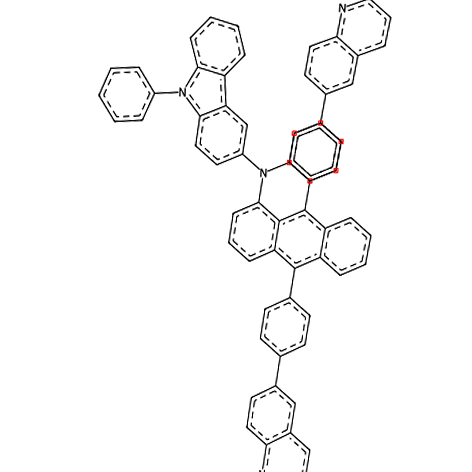 c1ccc(N(c2ccc3c(c2)c2ccccc2n3-c2ccccc2)c2cccc3c(-c4ccc(-c5ccc6ncccc6c5)cc4)c4ccccc4c(-c4ccc(-c5ccc6ncccc6c5)cc4)c23)cc1